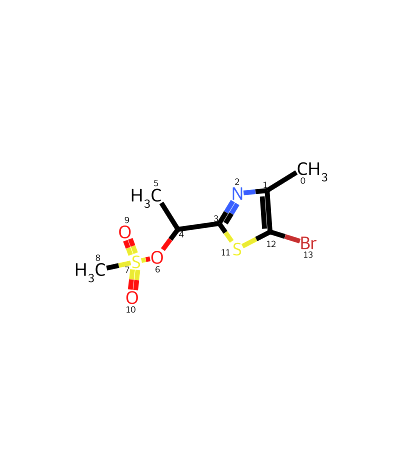 Cc1nc(C(C)OS(C)(=O)=O)sc1Br